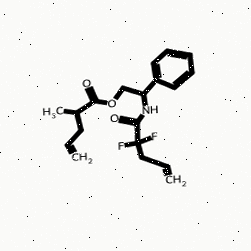 C=CCC(C)C(=O)OCC(NC(=O)C(F)(F)CC=C)c1ccccc1